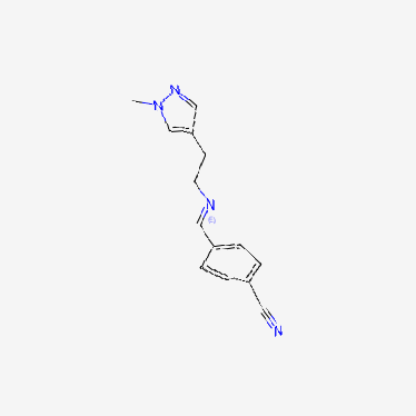 Cn1cc(CC/N=C/c2ccc(C#N)cc2)cn1